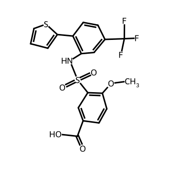 COc1ccc(C(=O)O)cc1S(=O)(=O)Nc1cc(C(F)(F)F)ccc1-c1cccs1